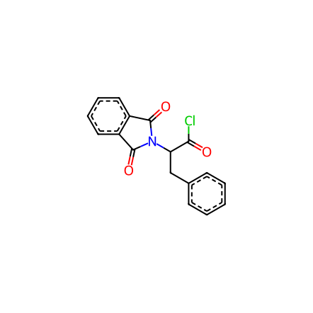 O=C(Cl)C(Cc1ccccc1)N1C(=O)c2ccccc2C1=O